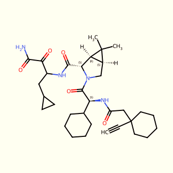 C#CC1(CC(=O)N[C@H](C(=O)N2C[C@H]3[C@@H]([C@H]2C(=O)NC(CC2CC2)C(=O)C(N)=O)C3(C)C)C2CCCCC2)CCCCC1